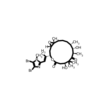 C/C(=C\c1nc(Br)c(Br)n1C)[C@@H]1C[C@@H]2O[C@]2(C)CCC[C@H](C)[C@H](O)[C@@H](C)C(=O)C(C)(C)[C@@H](O)CC(=O)O1